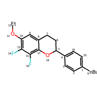 CCCCc1ccc(C2CCc3cc(OCC)c(F)c(F)c3O2)cc1